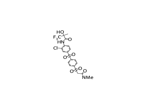 CNC(=O)CS(=O)(=O)c1ccc(S(=O)(=O)c2ccc(NC(=O)C(C)(O)C(F)(F)F)c(Cl)c2)cc1